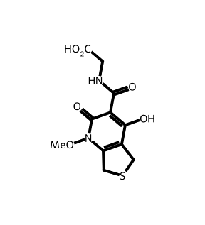 COn1c2c(c(O)c(C(=O)NCC(=O)O)c1=O)CSC2